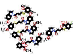 COC(=O)c1ccccc1OCCCC(=O)N1CCc2ccc(OC)cc21.COC(=O)c1ccccc1SCCCC(=O)N1CCc2ccc(OC)cc21.COc1ccc(SCCCC(=O)N2CCc3ccc(OC)cc32)cc1.COc1ccc2c(c1)N(C(=O)CCCSc1ccc(F)cc1C(=O)O)CC2.COc1ccc2c(c1)N(C(=O)CCCSc1ccccc1OC)CC2